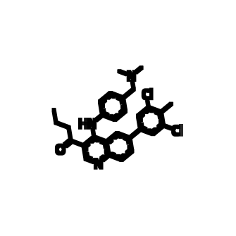 CCCC(=O)c1cnc2ccc(-c3cc(Cl)c(C)c(Cl)c3)cc2c1Nc1ccc(CN(C)C)cc1